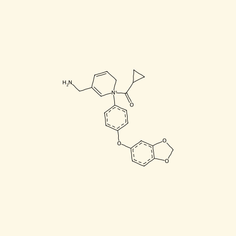 NCC1=C[N+](C(=O)C2CC2)(c2ccc(Oc3ccc4c(c3)OCO4)cc2)CC=C1